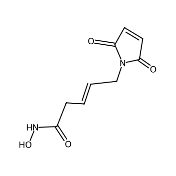 O=C(CC=CCN1C(=O)C=CC1=O)NO